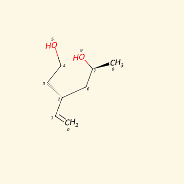 C=C[C@H](CCO)C[C@H](C)O